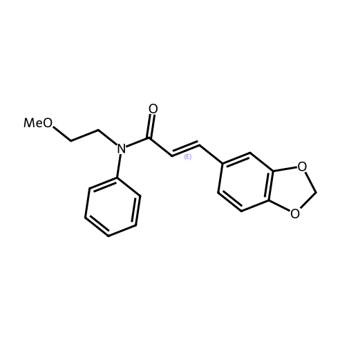 COCCN(C(=O)/C=C/c1ccc2c(c1)OCO2)c1ccccc1